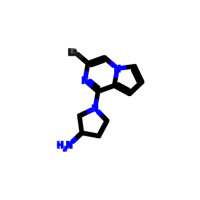 CCc1cn2cccc2c(N2CCC(N)C2)n1